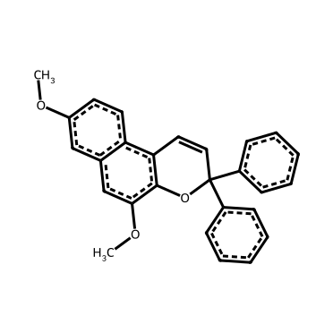 COc1ccc2c3c(c(OC)cc2c1)OC(c1ccccc1)(c1ccccc1)C=C3